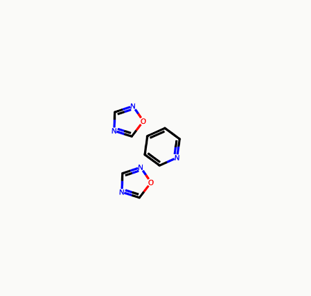 c1ccncc1.c1ncon1.c1ncon1